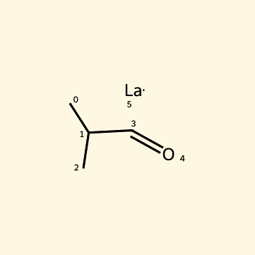 CC(C)C=O.[La]